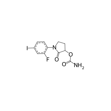 NC(=O)OC1CCN(c2ccc(I)cc2F)C1=O